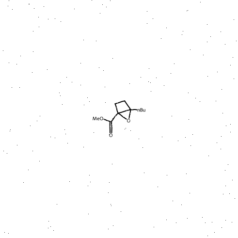 CCCCC12CCC1(C(=O)OC)O2